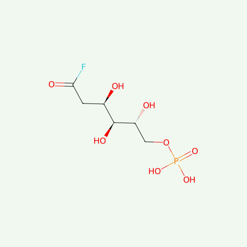 O=C(F)C[C@@H](O)[C@H](O)[C@H](O)COP(=O)(O)O